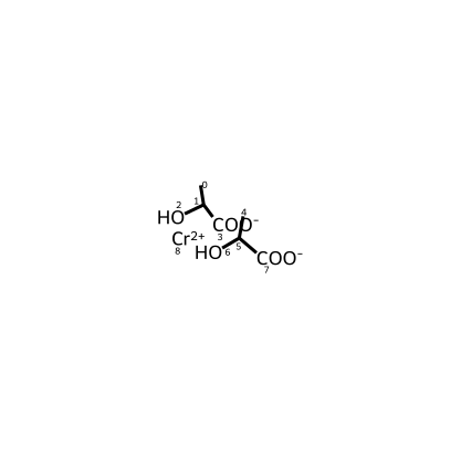 CC(O)C(=O)[O-].CC(O)C(=O)[O-].[Cr+2]